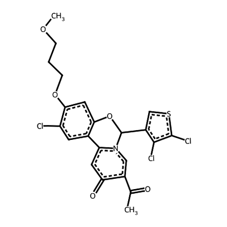 COCCCOc1cc2c(cc1Cl)-c1cc(=O)c(C(C)=O)cn1C(c1csc(Cl)c1Cl)O2